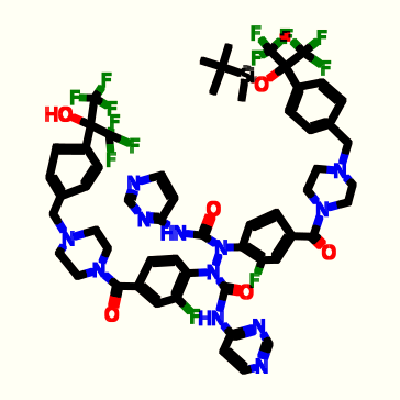 CC(C)(C)[Si](C)(C)OC(c1ccc(CN2CCN(C(=O)c3ccc(N(C(=O)Nc4ccncn4)N(C(=O)Nc4ccncn4)c4ccc(C(=O)N5CCN(Cc6ccc(C(O)(C(F)(F)F)C(F)(F)F)cc6)CC5)cc4F)c(F)c3)CC2)cc1)(C(F)(F)F)C(F)(F)F